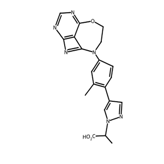 Cc1cc(N2CCOc3ncnc4c3C2=N4)ccc1-c1cnn(C(C)C(=O)O)c1